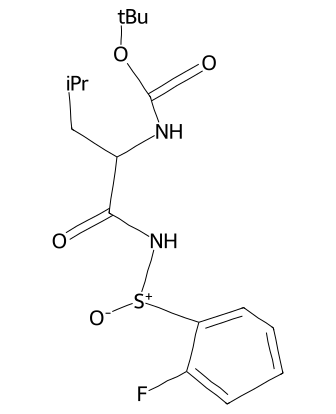 CC(C)CC(NC(=O)OC(C)(C)C)C(=O)N[S+]([O-])c1ccccc1F